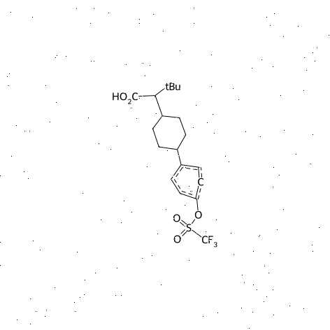 CC(C)(C)C(C(=O)O)C1CCC(c2ccc(OS(=O)(=O)C(F)(F)F)cc2)CC1